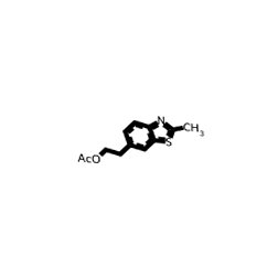 CC(=O)OCCc1ccc2nc(C)sc2c1